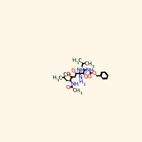 CC(=O)N[C@@H](CC(C)C)C(=O)CC(=O)C(N)(N)C(=O)[C@H](CC(C)C)NC(=O)OCc1ccccc1